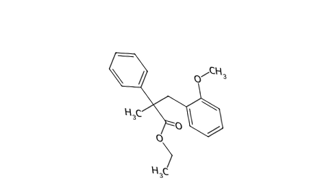 CCOC(=O)C(C)(Cc1ccccc1OC)c1ccccc1